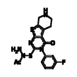 CC(=O)N(N)Sc1nc2sc3c(c2c(=O)n1-c1cccc(F)c1)CCNC3